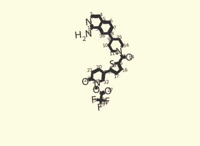 Nc1nccc2ccc(C3CCN(C(=O)c4ccc(-c5ccc(=O)n(OC(=O)C(F)(F)F)c5)s4)CC3)cc12